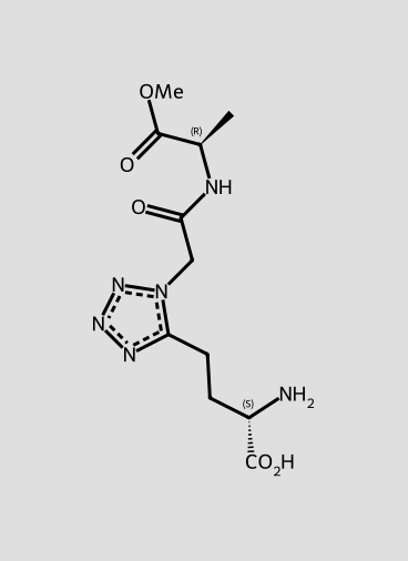 COC(=O)[C@@H](C)NC(=O)Cn1nnnc1CC[C@H](N)C(=O)O